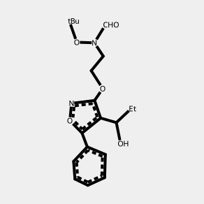 CCC(O)c1c(OCCN(C=O)OC(C)(C)C)noc1-c1ccccc1